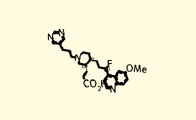 COc1ccc2nccc([C@H](F)CC[C@@H]3CCN(CCCc4cncnc4)C[C@H]3CCC(=O)O)c2c1